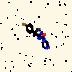 CC(C)C(C)(c1ccc(Br)cc1)c1noc(N2CCNCC2)n1